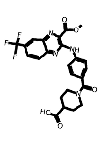 COC(=O)c1nc2cc(C(F)(F)F)ccc2nc1Nc1ccc(C(=O)N2CCC(C(=O)O)CC2)cc1